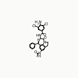 CC(=O)Nc1cc2c3c(c1)C(c1ccccc1)=NC(NC(=O)c1cc(Cl)c(N)c(Cl)c1)C(=O)N3CC2